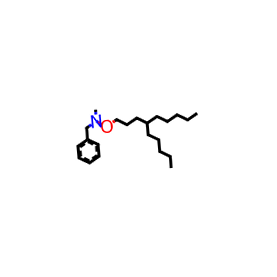 CCCCCC(CCCCC)CCCON(C)Cc1ccccc1